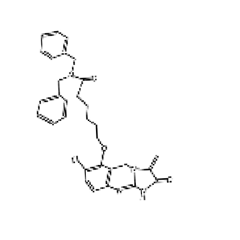 C=c1c(=O)[nH]c2n1Cc1c(ccc(Cl)c1OCCCCCC(=O)N(Cc1ccccc1)Cc1ccccc1)N=2